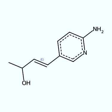 CC(O)/C=C/c1ccc(N)nc1